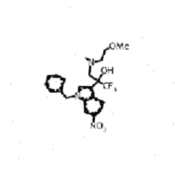 COCCN(C)CC(O)(c1cn(Cc2ccccc2)c2cc([N+](=O)[O-])ccc12)C(F)(F)F